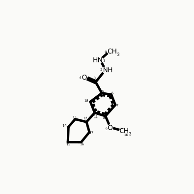 CNNC(=O)c1ccc(OC)c(C2CCCCC2)c1